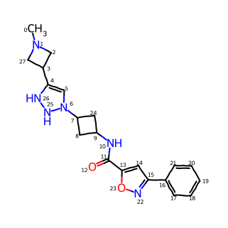 CN1CC(C2=CN(C3CC(NC(=O)c4cc(-c5ccccc5)no4)C3)NN2)C1